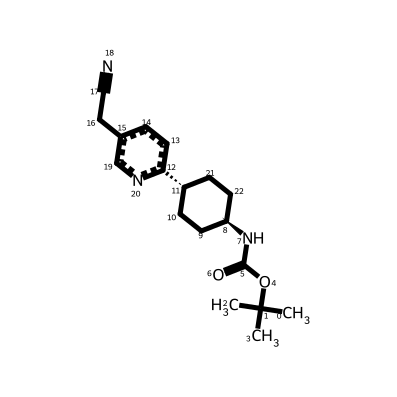 CC(C)(C)OC(=O)N[C@H]1CC[C@H](c2ccc(CC#N)cn2)CC1